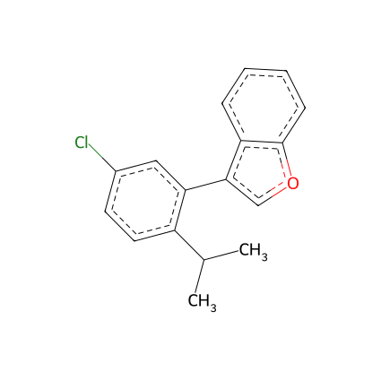 CC(C)c1ccc(Cl)cc1-c1coc2ccccc12